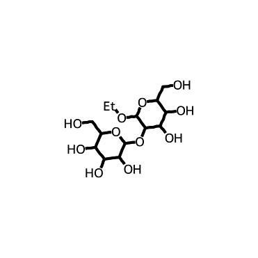 CCOC1OC(CO)C(O)C(O)C1OC1OC(CO)C(O)C(O)C1O